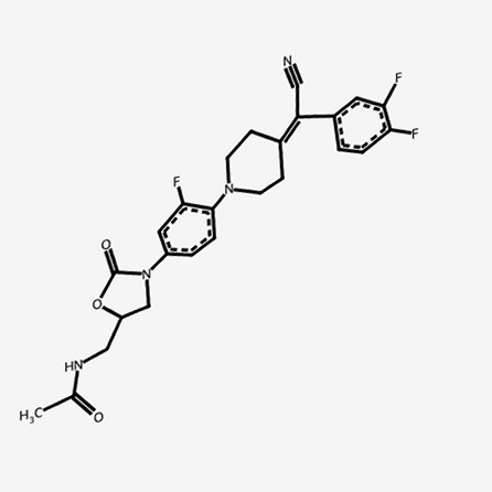 CC(=O)NCC1CN(c2ccc(N3CCC(=C(C#N)c4ccc(F)c(F)c4)CC3)c(F)c2)C(=O)O1